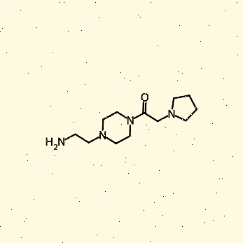 NCCN1CCN(C(=O)CN2CCCC2)CC1